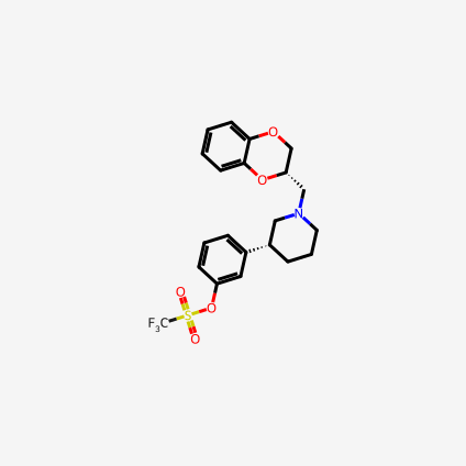 O=S(=O)(Oc1cccc([C@H]2CCCN(C[C@H]3COc4ccccc4O3)C2)c1)C(F)(F)F